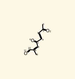 CC(=O)C=CC(=O)C=C(C)[C]=O